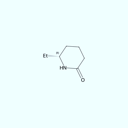 CC[C@@H]1CCCC(=O)N1